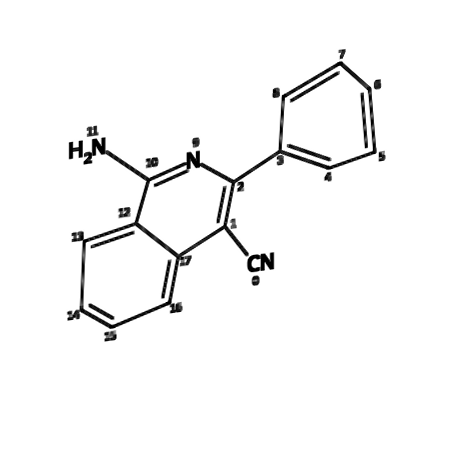 N#Cc1c(-c2ccccc2)nc(N)c2ccccc12